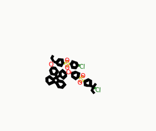 CCC(Oc1ccc(C2(c3ccc(Oc4ccc(S(=O)(=O)c5ccc(C(C)(Cl)CC)cc5)cc4)cc3)c3ccccc3-c3ccccc32)cc1)c1ccc(S(=O)(=O)c2ccc(Cl)cc2)cc1